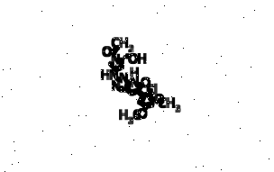 C=CC(=O)N1C[C@@H](Nc2ncc3cc(-c4cc(OC)cc(OC)c4Cl)c(=O)[nH]c3n2)C[C@H]1CO